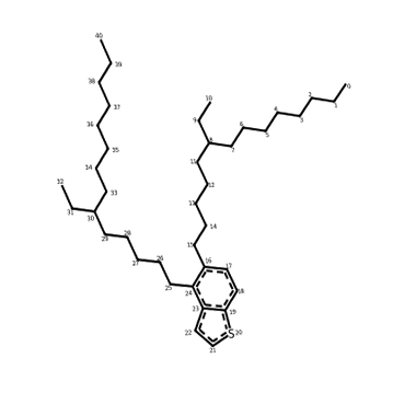 CCCCCCCCC(CC)CCCCCc1ccc2sccc2c1CCCCCC(CC)CCCCCCCC